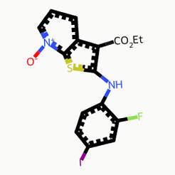 CCOC(=O)c1c(Nc2ccc(I)cc2F)sc2c1ccc[n+]2[O-]